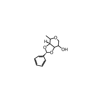 CC1OCC(O)C2O[C@@H](c3ccccc3)O[C@H]12